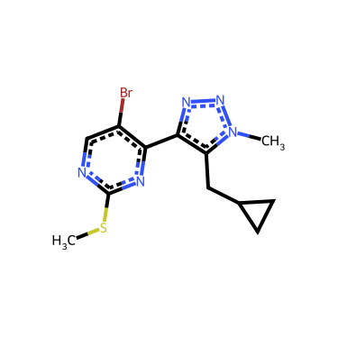 CSc1ncc(Br)c(-c2nnn(C)c2CC2CC2)n1